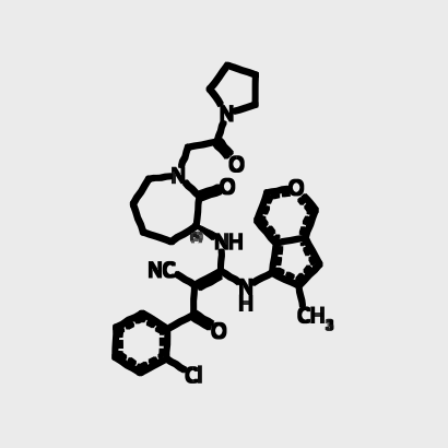 Cc1cc2coccc-2c1NC(N[C@H]1CCCCN(CC(=O)N2CCCC2)C1=O)=C(C#N)C(=O)c1ccccc1Cl